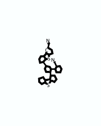 N#Cc1ccc2sc3c(-c4ccc(-c5cccc6sc7ccccc7c56)c(-c5ccccc5C#N)c4)cccc3c2c1